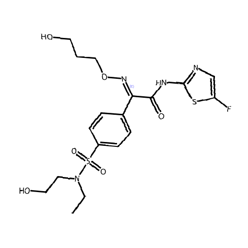 CCN(CCO)S(=O)(=O)c1ccc(/C(=N\OCCCO)C(=O)Nc2ncc(F)s2)cc1